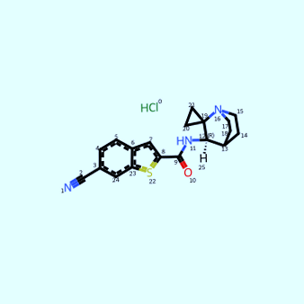 Cl.N#Cc1ccc2cc(C(=O)N[C@@H]3C4CCN(CC4)C34CC4)sc2c1